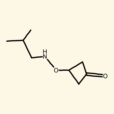 CC(C)CNOC1CC(=O)C1